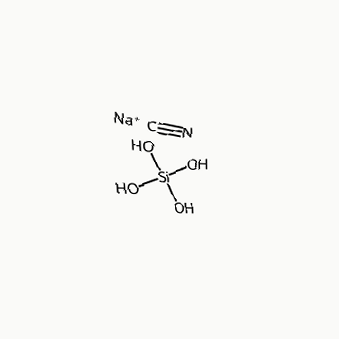 O[Si](O)(O)O.[C-]#N.[Na+]